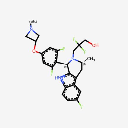 CCCCN1CC(Oc2cc(F)c([C@@H]3c4[nH]c5ccc(F)cc5c4C[C@@H](C)N3CC(F)(F)CO)c(F)c2)C1